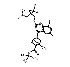 CN(C)C[C@@]1(COc2nc(N3CC4(C)CCC3CN4C(=O)OC(C)(C)C)c3cc(F)cc(F)c3n2)CC1(F)F